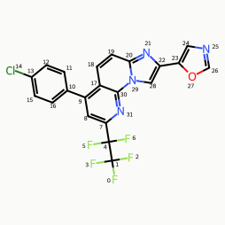 FC(F)(F)C(F)(F)c1cc(-c2ccc(Cl)cc2)c2ccc3nc(-c4cnco4)cn3c2n1